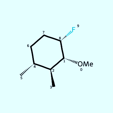 CO[C@@H]1[C@@H](C)[C@H](C)CC[C@@H]1F